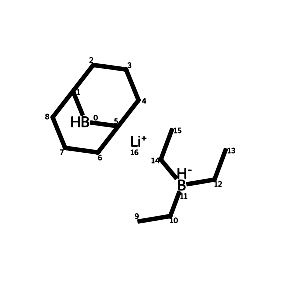 B1C2CCCC1CCC2.CC[BH-](CC)CC.[Li+]